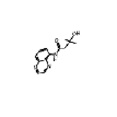 CC(C)(O)CC(=O)Nc1cccc2nccnc12